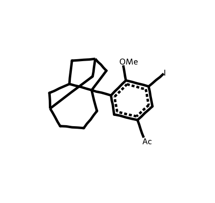 COc1c(I)cc(C(C)=O)cc1C12CCCC3CC(CC1C3)C2